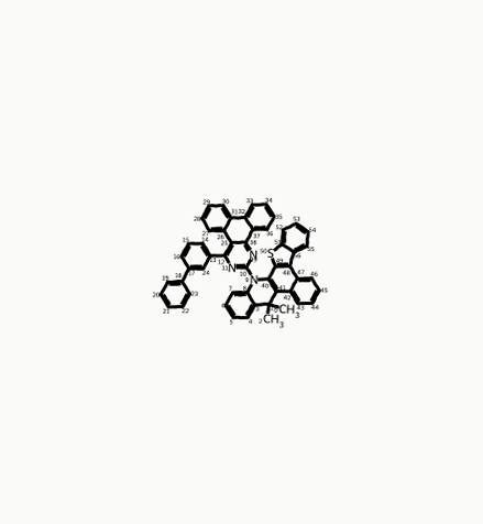 CC1(C)c2ccccc2N(c2nc(-c3cccc(-c4ccccc4)c3)c3c4ccccc4c4ccccc4c3n2)c2c1c1ccccc1c1c2sc2ccccc21